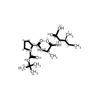 CC[C@H](C)[C@H](NC(=O)[C@H](C)NC(=O)[C@@H]1CCCN1C(=O)OC(C)(C)C)C(=O)O